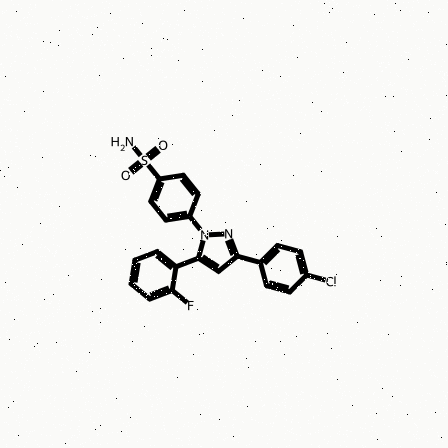 NS(=O)(=O)c1ccc(-n2nc(-c3ccc(Cl)cc3)cc2-c2ccccc2F)cc1